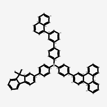 CC1(C)c2ccccc2-c2ccc(-c3ccc(N(c4ccc(-c5cccc(-c6cccc7ccccc67)c5)cc4)c4ccc(-c5ccc6c7ccccc7c7ccccc7c6c5)cc4)cc3)cc21